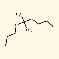 CC(C)(OCCF)OCCF